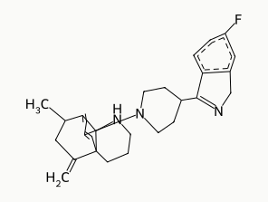 C=C1CC(C)C2=CC(N3CCC(C4=NCc5cc(F)ccc54)CC3)=CC13CCCNC23